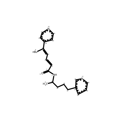 CCCC/C(=C\C=C\C(=O)NC(C)CCCc1cccnc1)c1ccncc1